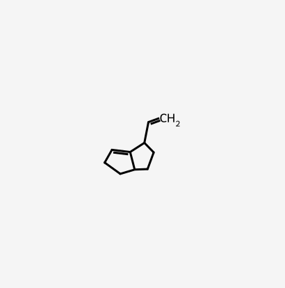 C=CC1CCC2CCC=C12